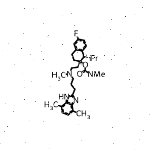 CNC(=O)O[C@]1(CCN(C)CCCc2nc3c(C)ccc(C)c3[nH]2)CCc2cc(F)ccc2[C@@H]1C(C)C